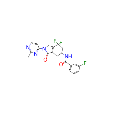 Cc1nccc(N2CC3=C(CC(NC(=O)c4cccc(F)c4)CC3(F)F)C2=O)n1